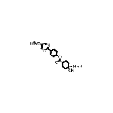 CCCCCCC[C@]1(C#N)CC[C@H](C(=O)Oc2ccc(-c3ncc(CCCCCC)cn3)cc2)CC1